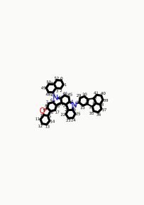 c1ccc2c(-n3c4cc5oc6ccccc6c5cc4c4c5c6ccccc6n(-c6ccc7c(c6)-c6cccc8cccc-7c68)c5ccc43)cccc2c1